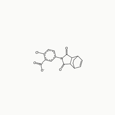 O=C1C2C3C=CC(CC3)C2C(=O)N1c1ccc(Cl)c([N+](=O)[O-])c1